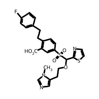 Cn1cncc1CCOC(c1nccs1)S(=O)(=O)c1ccc(CCc2ccc(F)cc2)c(C(=O)O)c1